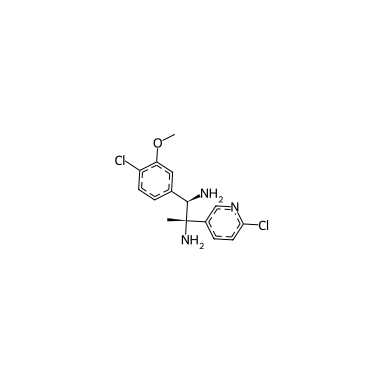 COc1cc([C@@H](N)[C@@](C)(N)c2ccc(Cl)nc2)ccc1Cl